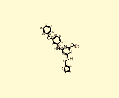 CCOc1nc(NCc2ccco2)nc(Nc2cccc(Oc3ccccc3)c2)n1